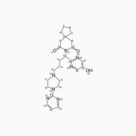 O=C1CC2(CCCC2)CC(=O)N1C(CCCN1CCN(c2ncccn2)CC1)c1ncc(O)cn1